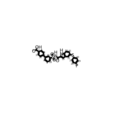 O=C(O)c1ccc(-c2cccc(S(=O)(=O)NC(=O)c3cc4cc(Sc5ccc(F)cc5)ccc4[nH]3)c2)cc1